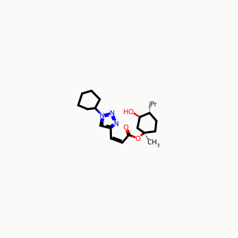 CC(C)[C@@H]1CC[C@@](C)(OC(=O)/C=C\c2cn(C3CCCCC3)nn2)C[C@H]1O